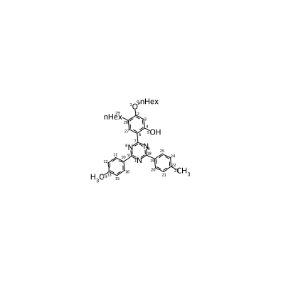 CCCCCCOc1cc(O)c(-c2nc(-c3ccc(C)cc3)nc(-c3ccc(C)cc3)n2)cc1CCCCCC